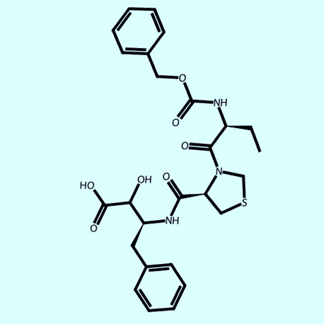 CC[C@H](NC(=O)OCc1ccccc1)C(=O)N1CSC[C@H]1C(=O)N[C@@H](Cc1ccccc1)C(O)C(=O)O